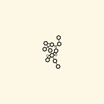 c1ccc(-c2ccc(-c3c4oc5ccc(N(c6cccc(-c7ccccc7)c6)c6ccc7c(c6)C(c6ccccc6)(c6ccccc6)c6ccccc6-7)cc5c4cc4oc5ccccc5c34)cc2)cc1